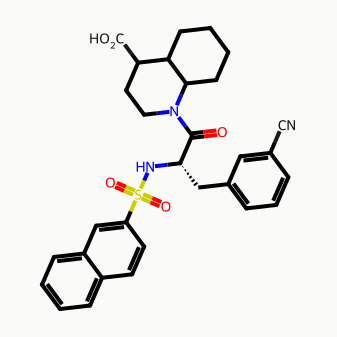 N#Cc1cccc(C[C@H](NS(=O)(=O)c2ccc3ccccc3c2)C(=O)N2CCC(C(=O)O)C3CCCCC32)c1